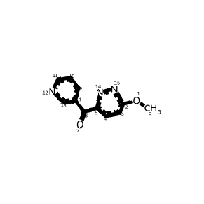 COc1ccc(C(=O)c2cccnc2)nn1